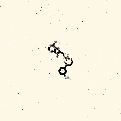 Cc1cccc(C2CCOP(=O)(OCc3nc4c(N)ncnc4[nH]3)O2)c1